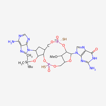 COC1C2COP(=O)(S)OC3C(CO[P@](=O)(S)OC1C(n1cnc4c(=O)[nH]c(N)nc41)O2)CC(n1cnc2c(N)ncnc21)C3O[Si](C)(C)C(C)(C)C